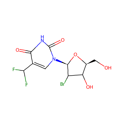 O=c1[nH]c(=O)n([C@H]2O[C@@H](CO)C(O)C2Br)cc1C(F)F